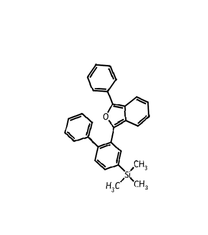 C[Si](C)(C)c1ccc(-c2ccccc2)c(-c2oc(-c3ccccc3)c3ccccc23)c1